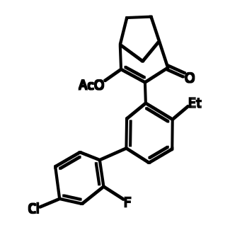 CCc1ccc(-c2ccc(Cl)cc2F)cc1C1=C(OC(C)=O)C2CCC(C2)C1=O